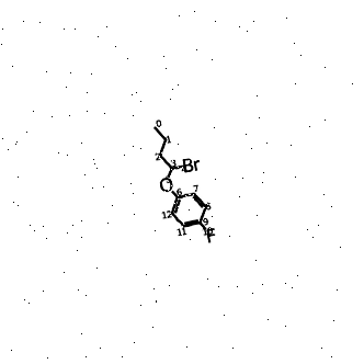 CCCC(Br)Oc1ccc(F)cc1